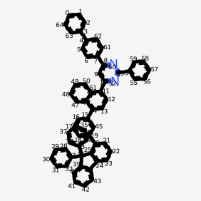 c1ccc(-c2ccc(-c3cc(-c4ccc(-c5cccc(-c6cccc7c6C(c6ccccc6)(c6ccccc6)c6ccccc6-7)c5)c5ccccc45)nc(-c4ccccc4)n3)cc2)cc1